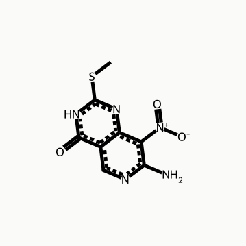 CSc1nc2c([N+](=O)[O-])c(N)ncc2c(=O)[nH]1